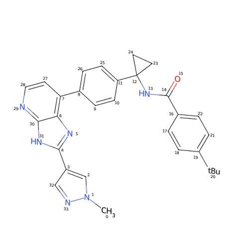 Cn1cc(-c2nc3c(-c4ccc(C5(NC(=O)c6ccc(C(C)(C)C)cc6)CC5)cc4)ccnc3[nH]2)cn1